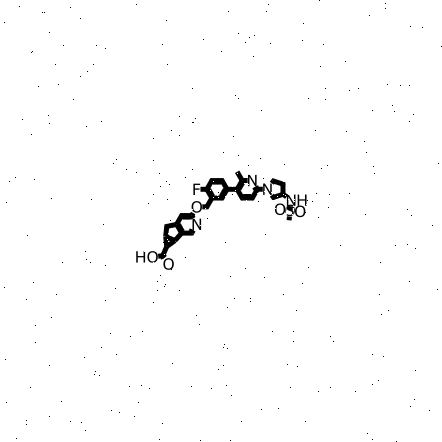 Cc1nc(N2CCC(NS(C)(=O)=O)C2)ccc1-c1ccc(F)c(COc2cc3c(cn2)C2C(C3)C2C(=O)O)c1